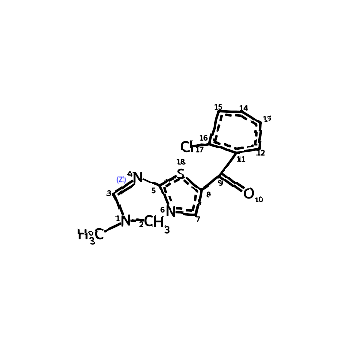 CN(C)/C=N\c1ncc(C(=O)c2ccccc2Cl)s1